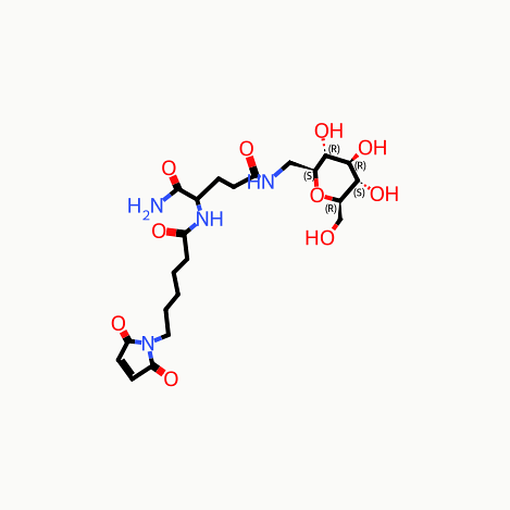 NC(=O)C(CCC(=O)NC[C@@H]1O[C@H](CO)[C@@H](O)[C@H](O)[C@H]1O)NC(=O)CCCCCN1C(=O)C=CC1=O